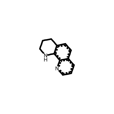 c1cnc2c3c(ccc2c1)CCCN3